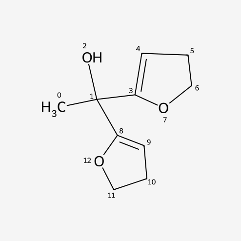 CC(O)(C1=CCCO1)C1=CCCO1